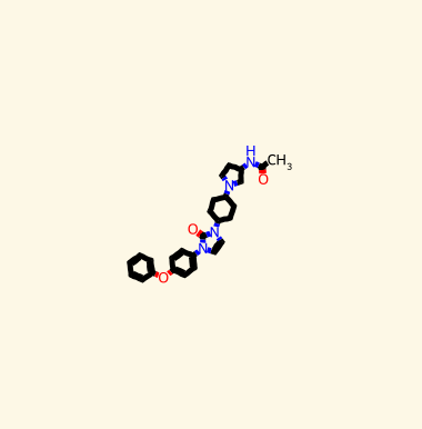 CC(=O)NC1CCN(C2CCC(n3ccn(-c4ccc(Oc5ccccc5)cc4)c3=O)CC2)C1